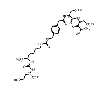 CC(C)C(C)C(=O)[C@H](CC(=O)O)NC(=O)[C@H](CC(=O)O)NC(=O)Cc1ccc(CNC(=O)NCCCCC(NC(=O)N[C@@H](CCC(=O)O)C(=O)O)C(=O)O)cc1